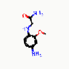 COc1cc(N)ccc1NCC(N)=O